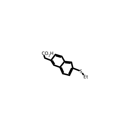 CCSc1ccc2cc(CC(=O)O)ccc2c1